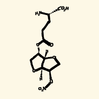 N[C@@H](CCC(=O)O[C@H]1CO[C@H]2[C@@H]1OC[C@H]2O[N+](=O)[O-])C(=O)O